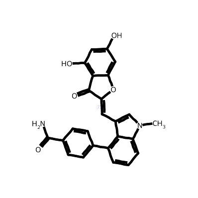 Cn1cc(/C=C2\Oc3cc(O)cc(O)c3C2=O)c2c(-c3ccc(C(N)=O)cc3)cccc21